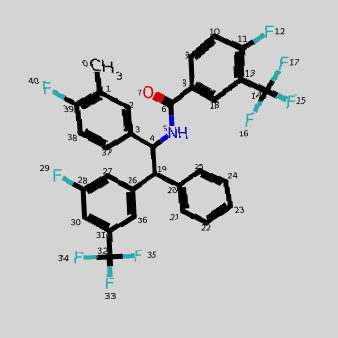 Cc1cc(C(NC(=O)c2ccc(F)c(C(F)(F)F)c2)C(c2ccccc2)c2cc(F)cc(C(F)(F)F)c2)ccc1F